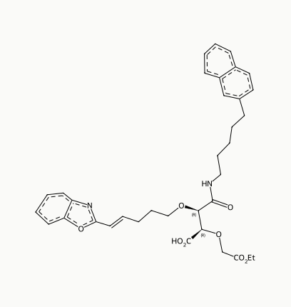 CCOC(=O)CO[C@@H](C(=O)O)[C@@H](OCCCC=Cc1nc2ccccc2o1)C(=O)NCCCCCc1ccc2ccccc2c1